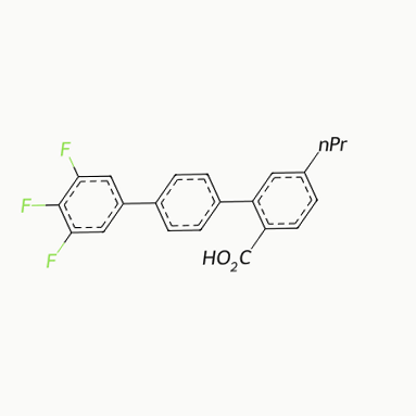 CCCc1ccc(C(=O)O)c(-c2ccc(-c3cc(F)c(F)c(F)c3)cc2)c1